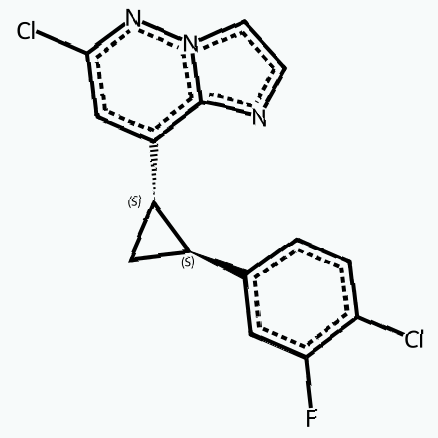 Fc1cc([C@H]2C[C@@H]2c2cc(Cl)nn3ccnc23)ccc1Cl